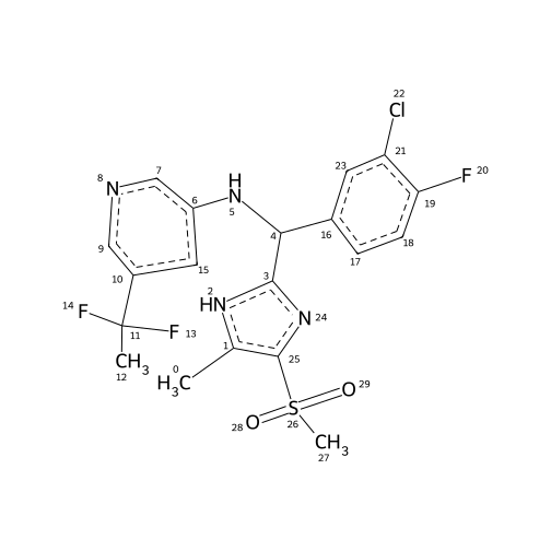 Cc1[nH]c(C(Nc2cncc(C(C)(F)F)c2)c2ccc(F)c(Cl)c2)nc1S(C)(=O)=O